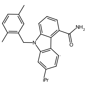 Cc1ccc(C)c(Cn2c3cc(C(C)C)c[c]c3c3c(C(N)=O)cccc32)c1